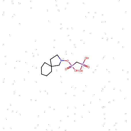 O=P(O)(O)CP(=O)(O)ON1CCC2(CCCCC2)C1